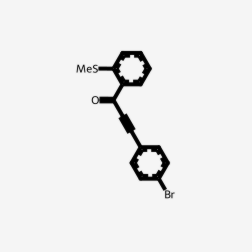 CSc1ccccc1C(=O)C#Cc1ccc(Br)cc1